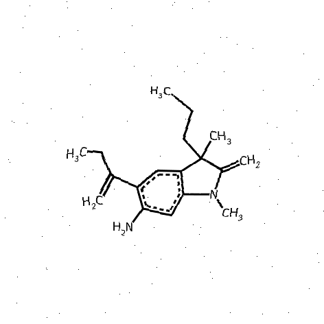 C=C(CC)c1cc2c(cc1N)N(C)C(=C)C2(C)CCC